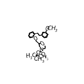 COc1cccc(CCc2ccccc2OCC2CN(C(=O)OC(C)(C)C)CCO2)c1